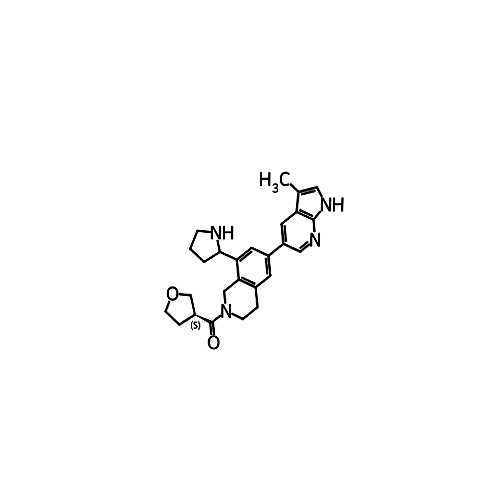 Cc1c[nH]c2ncc(-c3cc4c(c(C5CCCN5)c3)CN(C(=O)[C@H]3CCOC3)CC4)cc12